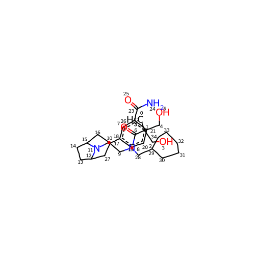 CC(CO)(CO)C(=O)N(CCN1C2CCC1CC(c1cccc(C(N)=O)c1)C2)CC1CCCCC1